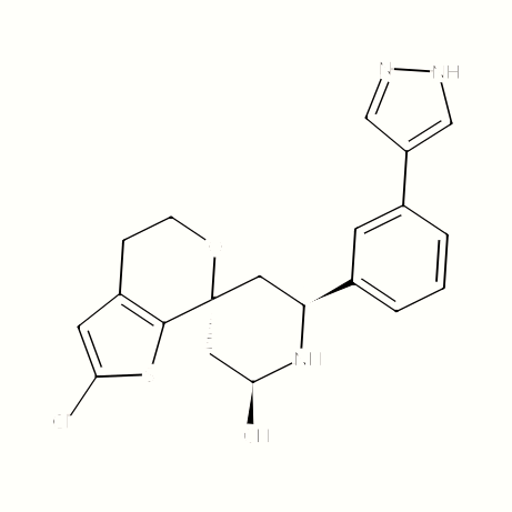 C[C@H]1C[C@@]2(C[C@@H](c3cccc(-c4cn[nH]c4)c3)N1)OCCc1cc(Cl)sc12